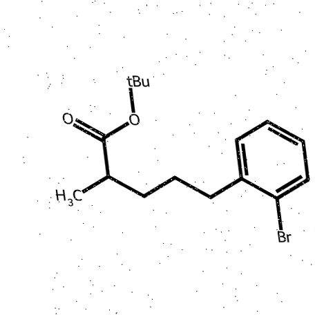 CC(CCCc1ccccc1Br)C(=O)OC(C)(C)C